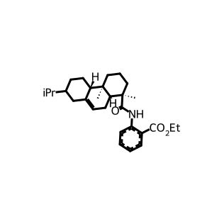 CCOC(=O)c1ccccc1NC(=O)[C@]1(C)CCC[C@@]2(C)[C@H]1CC=C1CC(C(C)C)CC[C@@H]12